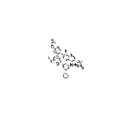 COC(=O)c1cc(Nc2c(C(N)=O)cnc3c(F)c(-c4cnc(OC)nc4OC)ccc23)cc(C2CCCC2)c1